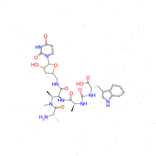 C[C@H](N)C(=O)N(C)[C@@H](C)[C@H](NC(=O)[C@H](C)NC(=O)N[C@@H](Cc1c[nH]c2ccccc12)C(=O)O)C(=O)NCC1CC(O)C(n2ccc(=O)[nH]c2=O)O1